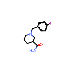 NC(=O)C1CCCN(Cc2ccc(I)cc2)C1